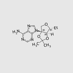 CC[C@H]1OC[C@@]2(n3cnc4c(N)ncnc43)OC(C)(C)O[C@H]12